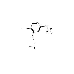 COc1ccc(NS(C)(=O)=O)cc1CO[PH](=O)O